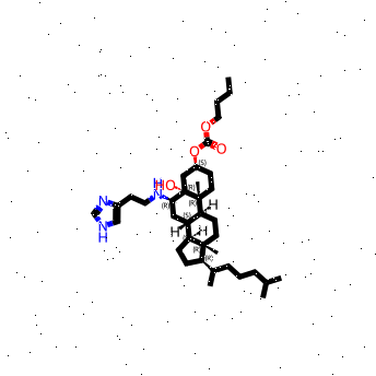 CCCCOC(=O)O[C@H]1CC[C@]2(C)[C@H]3CC[C@]4(C)[C@@H](C(C)CCCC(C)C)CC[C@H]4[C@@H]3C[C@@H](NCCc3c[nH]cn3)[C@@]2(O)C1